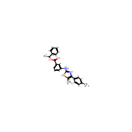 CCC(OC(=O)c1cccc(Nc2nc(-c3ccc(C(F)(F)F)cc3)c(C)s2)c1)c1ccccc1